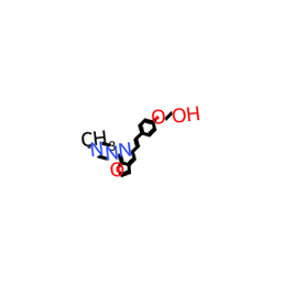 CCN1CCN(c2nc(/C=C/c3ccc(OCCO)cc3)cc3ccoc23)CC1